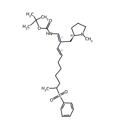 CC(CCCC/C=C/C(=C\NC(=O)OC(C)(C)C)C[C@H]1CCCN1C)S(=O)(=O)c1ccccc1